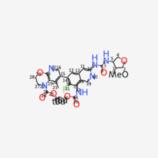 COC1COCC1NC(=O)Nc1cc2cc(-c3cnc4c(c3C)N(C(=O)OC(C)(C)C)CCO4)c(F)c(NC(=O)OC(C)(C)C)c2cn1